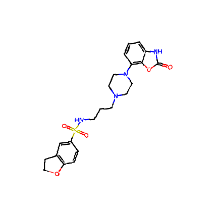 O=c1[nH]c2cccc(N3CCN(CCCNS(=O)(=O)c4ccc5c(c4)CCO5)CC3)c2o1